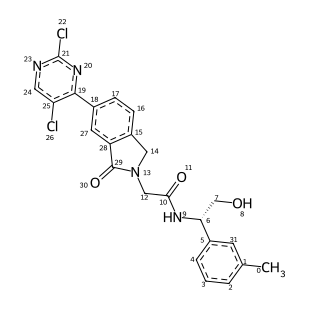 Cc1cccc([C@@H](CO)NC(=O)CN2Cc3ccc(-c4nc(Cl)ncc4Cl)cc3C2=O)c1